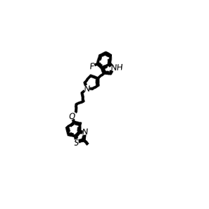 Cc1nc2cc(OCCCCN3CC=C(c4c[nH]c5cccc(F)c45)CC3)ccc2s1